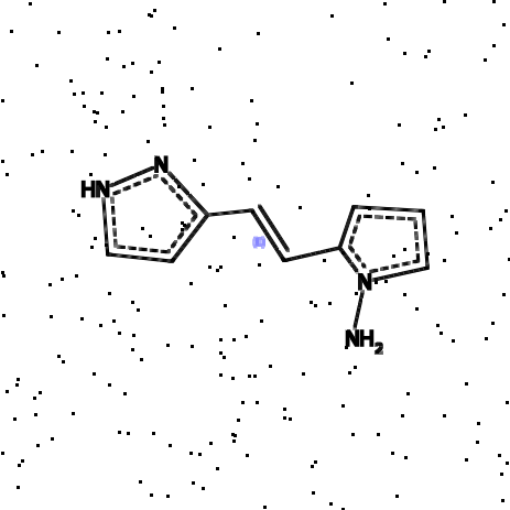 Nn1cccc1/C=C/c1cc[nH]n1